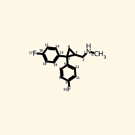 CNCC1CC1(c1ccc(F)cc1)c1ccc(F)cc1